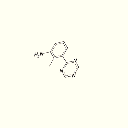 Cc1c(N)cccc1-c1ncncn1